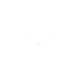 CC[C@H]1CC[C@H](C2(OC)C=CC=CC2F)CC1